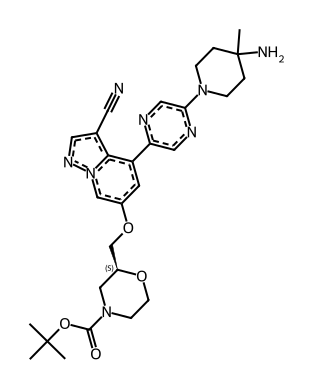 CC1(N)CCN(c2cnc(-c3cc(OC[C@@H]4CN(C(=O)OC(C)(C)C)CCO4)cn4ncc(C#N)c34)cn2)CC1